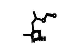 Cc1n[nH]cc1CC(C)OC=O